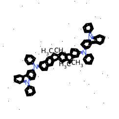 CC1(C)c2cc(N(c3ccccc3)c3ccc4c(c3)c3ccccc3n4-c3ccccc3)ccc2-c2cc3c(cc21)-c1cc2ccc(N(c4ccccc4)c4ccc5c(c4)C4C=CC=CC4N5c4ccccc4)cc2cc1C3(C)C